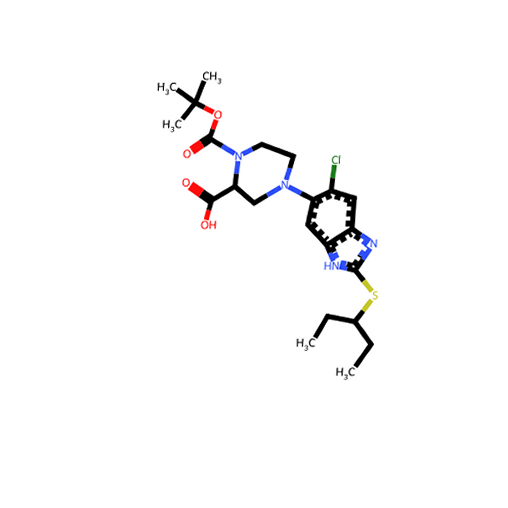 CCC(CC)Sc1nc2cc(Cl)c(N3CCN(C(=O)OC(C)(C)C)C(C(=O)O)C3)cc2[nH]1